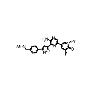 CNCc1ccc(-c2cc(-c3nc(-c4cc(F)c(=O)n(C(C)C)c4)cnc3N)on2)cc1